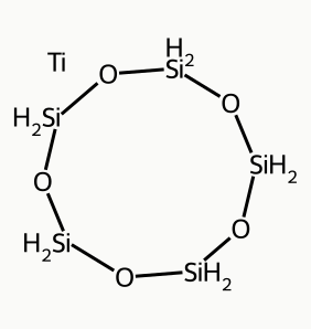 O1[SiH2]O[SiH2]O[SiH2]O[SiH2]O[SiH2]1.[Ti]